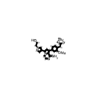 COc1cc(-c2cc(-c3cnn(CCO)c3)n3ncnc(N)c23)ccc1CC(=O)OC(C)(C)C